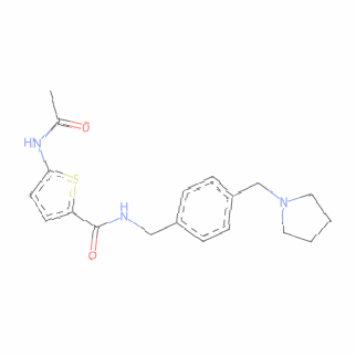 CC(=O)Nc1ccc(C(=O)NCc2ccc(CN3CCCC3)cc2)s1